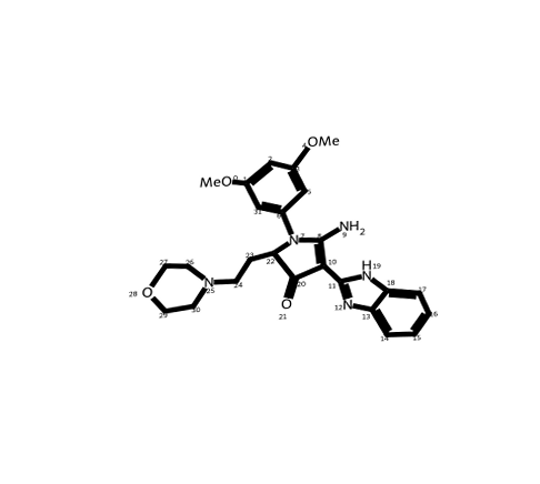 COc1cc(OC)cc(N2C(N)=C(c3nc4ccccc4[nH]3)C(=O)C2CCN2CCOCC2)c1